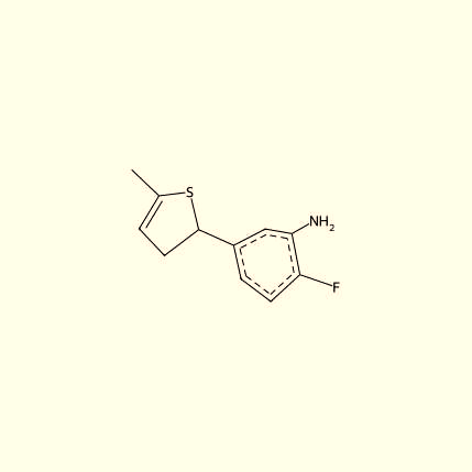 CC1=CCC(c2ccc(F)c(N)c2)S1